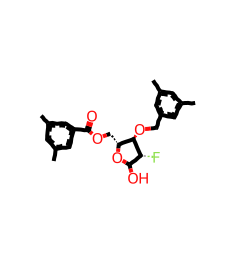 Cc1cc(C)cc(CO[C@H]2[C@H](F)C(O)O[C@@H]2COC(=O)c2cc(C)cc(C)c2)c1